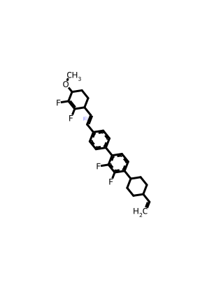 C=CC1CCC(c2ccc(-c3ccc(/C=C/C4CCC(OC)C(F)=C4F)cc3)c(F)c2F)CC1